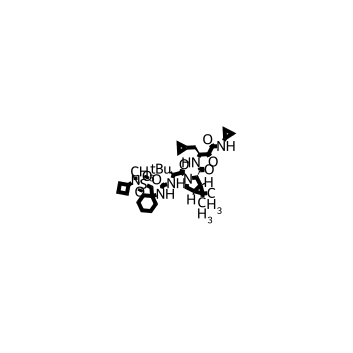 CN(C1CCC1)S(=O)(=O)CC1(NC(=O)N[C@H](C(=O)N2C[C@H]3[C@@H]([C@H]2C(=O)N[C@@H](CC2CC2)C(=O)C(=O)NC2CC2)C3(C)C)C(C)(C)C)CCCCC1